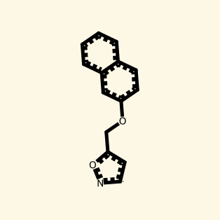 [c]1cc(COc2ccc3ccccc3c2)on1